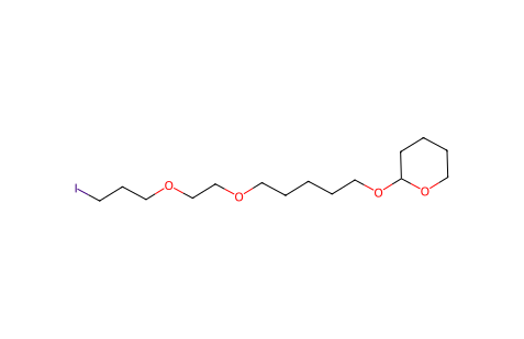 ICCCOCCOCCCCCOC1CCCCO1